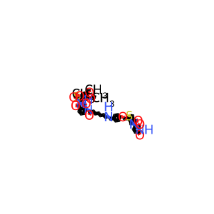 CCOc1cc([C@@H](CS(C)(=O)=O)N2C(=O)c3cccc(NC(=O)CCCCCCNCc4ccc(OCc5scc6c5CN(C5CCC(=O)NC5=O)C6=O)cc4)c3C2=O)ccc1OC